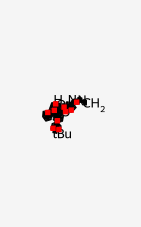 C=C/N=C\C=C(/N)c1ccc2oc3c(c2c1)Oc1cccc2c1B3c1ccc(-c3ccc(C(C)(C)C)cc3)cc1N2c1ccccc1